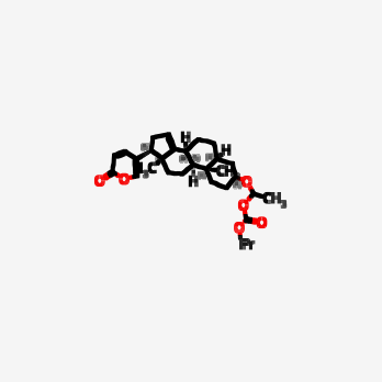 CC(C)OC(=O)OC(C)O[C@H]1CC[C@@]2(C)[C@H](CC[C@H]3C4=CC[C@H](c5ccc(=O)oc5)[C@@]4(C)CC[C@@H]32)C1